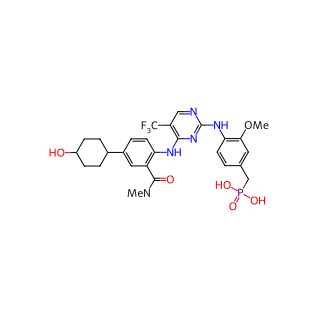 CNC(=O)c1cc(C2CCC(O)CC2)ccc1Nc1nc(Nc2ccc(CP(=O)(O)O)cc2OC)ncc1C(F)(F)F